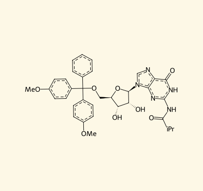 COc1ccc(C(OC[C@H]2O[C@@H](n3cnc4c(=O)[nH]c(NC(=O)C(C)C)nc43)[C@H](O)[C@@H]2O)(c2ccccc2)c2ccc(OC)cc2)cc1